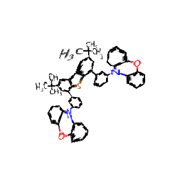 CC(C)(C)c1cc(-c2cccc(N3c4ccccc4Oc4ccccc43)c2)c2sc3c(-c4cccc(N5c6ccccc6Oc6ccccc65)c4)cc(C(C)(C)C)cc3c2c1